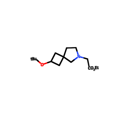 CCOC(=O)CN1CCC2(CC(OC(C)(C)C)C2)C1